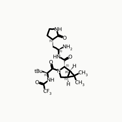 CC(C)(C)[C@H](NC(=O)C(F)(F)F)C(=O)N1C[C@H]2[C@@H]([C@H]1C(=O)N[C@H](N)C[C@@H]1CCNC1=O)C2(C)C